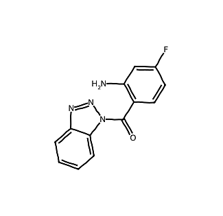 Nc1cc(F)ccc1C(=O)n1nnc2ccccc21